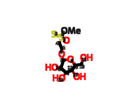 COS(=O)(=S)CCO[C@H]1OC(CO)[C@@H](O)[C@H](O)C1O